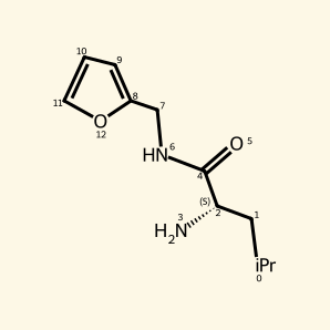 CC(C)C[C@H](N)C(=O)NCc1ccco1